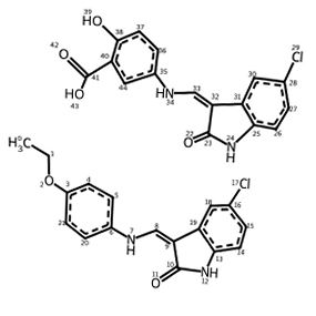 CCOc1ccc(NC=C2C(=O)Nc3ccc(Cl)cc32)cc1.O=C1Nc2ccc(Cl)cc2C1=CNc1ccc(O)c(C(=O)O)c1